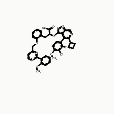 COc1ccccc1-c1nccc(COc2ccccc2CC(Oc2nsc3cnc(C4CCC4)c(-c4ccc(OC)c(Cl)c4C)c23)C(=O)O)n1